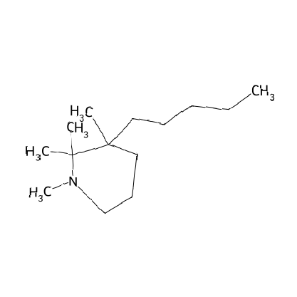 CCCCCC1(C)CCCN(C)C1(C)C